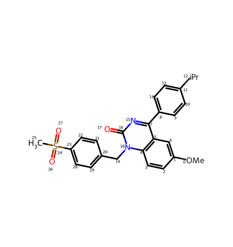 COc1ccc2c(c1)c(-c1ccc(C(C)C)cc1)nc(=O)n2Cc1ccc(S(C)(=O)=O)cc1